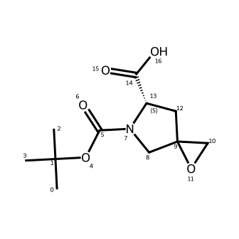 CC(C)(C)OC(=O)N1CC2(CO2)C[C@H]1C(=O)O